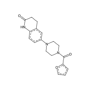 O=C1CCc2cc(N3CCN(C(=O)c4ccco4)CC3)ccc2N1